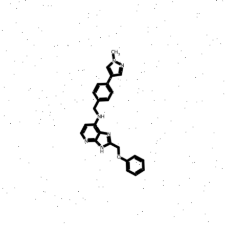 Cn1cc(-c2ccc(CNc3ccnc4[nH]c(COc5ccccc5)nc34)cc2)cn1